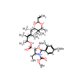 C=CC1O[C@@H](CC)C(C)(C)[C@H]([C@@H](C)/C(C)=C(\C)C(C)OC(=O)[C@@H]2OC(c3ccc(OC)cc3OC)N(C(=O)OC(C)(C)C)C2CC(C)C)O1